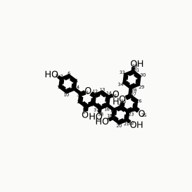 O=c1cc(-c2ccc(O)cc2)oc2cc(O)c(-c3c(O)cc(O)c4c(=O)cc(-c5ccc(O)cc5)oc34)c(O)c12